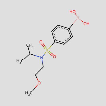 COCCN(C(C)C)S(=O)(=O)c1ccc(B(O)O)cc1